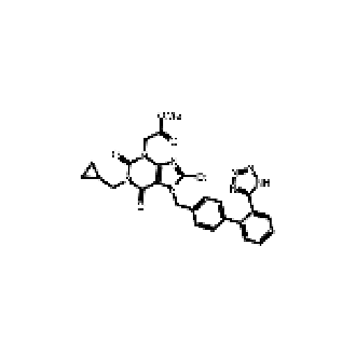 CCc1nc2c(c(=O)n(CC3CC3)c(=O)n2CC(=O)OC)n1Cc1ccc(-c2ccccc2-c2nnn[nH]2)cc1